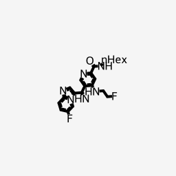 CCCCCCNC(=O)c1cc(NCCF)c(C(=N)c2cnc3ccc(F)cn23)cn1